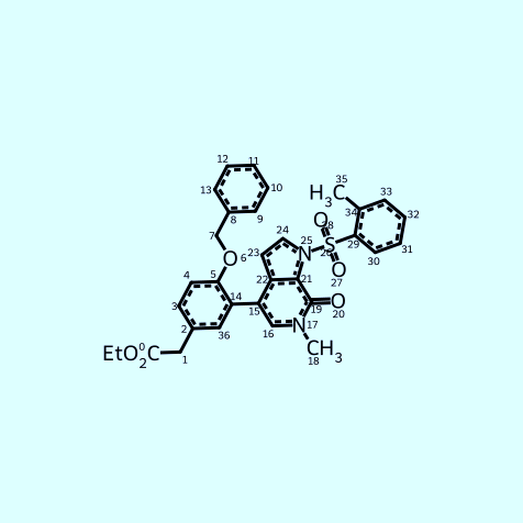 CCOC(=O)Cc1ccc(OCc2ccccc2)c(-c2cn(C)c(=O)c3c2ccn3S(=O)(=O)c2ccccc2C)c1